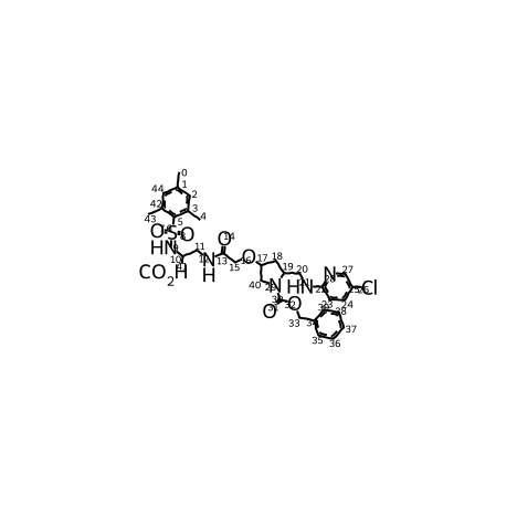 Cc1cc(C)c(S(=O)(=O)NC(CNC(=O)COC2CC(CNc3ccc(Cl)cn3)N(C(=O)OCc3ccccc3)C2)C(=O)O)c(C)c1